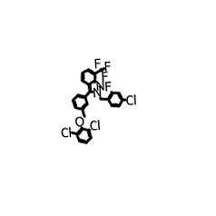 Fc1cc(Cl)ccc1Cn1nc2c(C(F)(F)F)cccc2c1-c1cccc(COc2c(Cl)cccc2Cl)c1